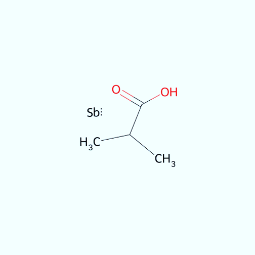 CC(C)C(=O)O.[Sb]